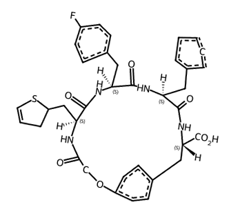 O=C1COc2ccc(cc2)C[C@@H](C(=O)O)NC(=O)[C@H](Cc2ccccc2)NC(=O)[C@H](Cc2ccc(F)cc2)NC(=O)[C@H](CC2CC=CS2)N1